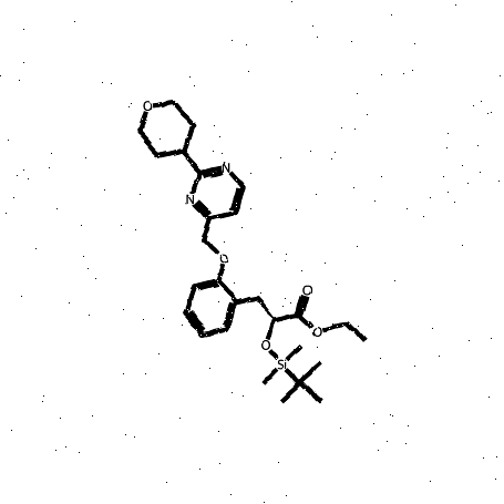 CCOC(=O)[C@H](Cc1ccccc1OCc1ccnc(C2CCOCC2)n1)O[Si](C)(C)C(C)(C)C